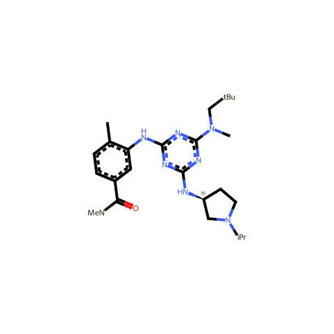 CNC(=O)c1ccc(C)c(Nc2nc(N[C@H]3CCN(C(C)C)C3)nc(N(C)CC(C)(C)C)n2)c1